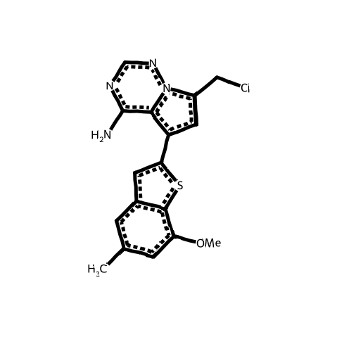 COc1cc(C)cc2cc(-c3cc(CCl)n4ncnc(N)c34)sc12